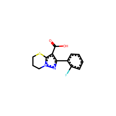 O=C(O)c1c(-c2ccccc2F)nn2c1SCCC2